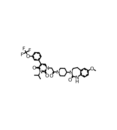 COc1ccc2c(c1)CCN(C1CCN(C(=O)Cn3cc(-c4cccc(OC(F)(F)F)c4)c(=O)n(C(C)C)c3=O)CC1)C(=O)N2